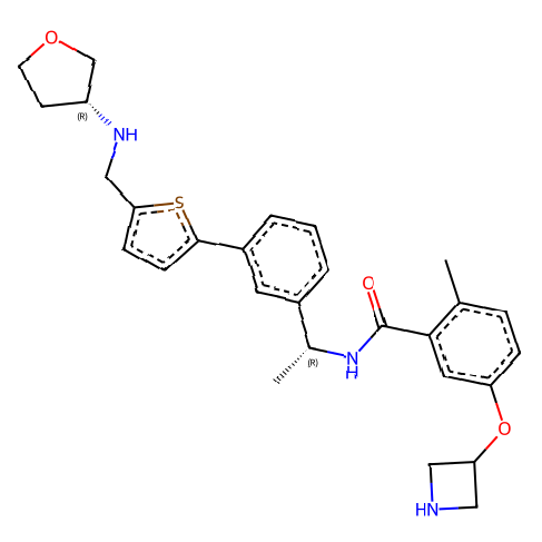 Cc1ccc(OC2CNC2)cc1C(=O)N[C@H](C)c1cccc(-c2ccc(CN[C@@H]3CCOC3)s2)c1